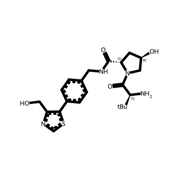 CC(C)(C)[C@H](N)C(=O)N1C[C@H](O)C[C@H]1C(=O)NCc1ccc(-c2scnc2CO)cc1